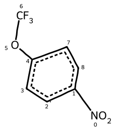 O=[N+]([O-])c1[c]cc(OC(F)(F)F)cc1